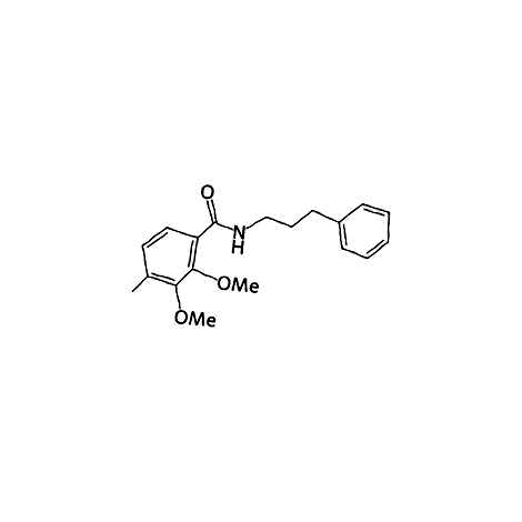 COc1c(C)ccc(C(=O)NCCCc2ccccc2)c1OC